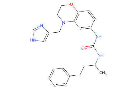 CC(CCc1ccccc1)NC(=O)Nc1ccc2c(c1)N(Cc1c[nH]cn1)CCO2